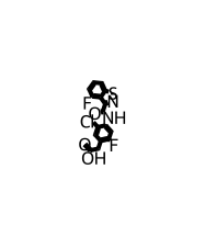 O=C(O)Cc1cc(Cl)c(NC(=O)c2nsc3cccc(F)c23)cc1F